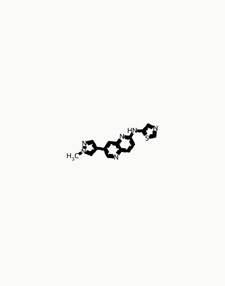 Cn1cc(-c2cnc3ccc(Nc4cncs4)nc3c2)cn1